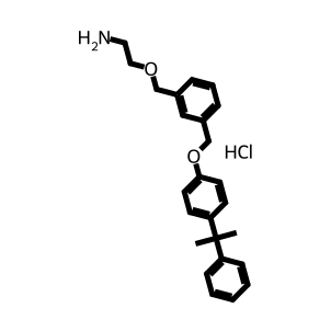 CC(C)(c1ccccc1)c1ccc(OCc2cccc(COCCN)c2)cc1.Cl